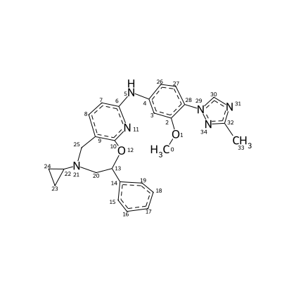 COc1cc(Nc2ccc3c(n2)OC(c2ccccc2)CN(C2CC2)C3)ccc1-n1cnc(C)n1